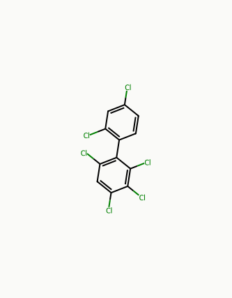 Clc1ccc(-c2c(Cl)cc(Cl)c(Cl)c2Cl)c(Cl)c1